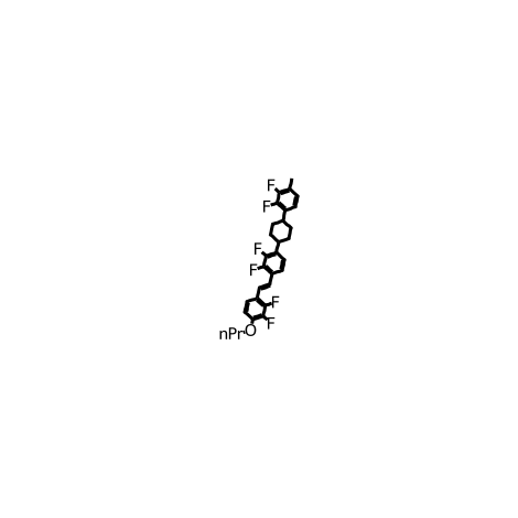 CCCOc1ccc(/C=C/c2ccc(C3CCC(c4ccc(C)c(F)c4F)CC3)c(F)c2F)c(F)c1F